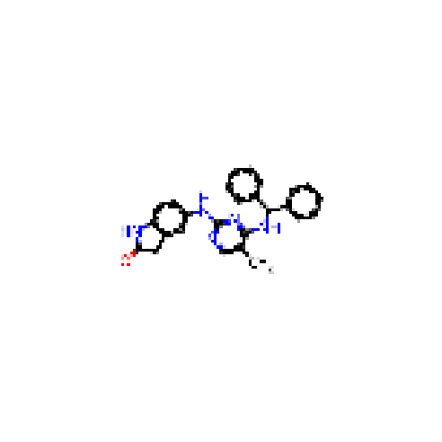 O=C1Cc2cc(Nc3ncc(C(F)(F)F)c(NC(c4ccccc4)c4ccccc4)n3)ccc2N1